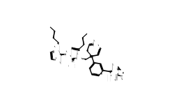 CCCCn1ccnc1-n1cc(CCC)n(CC2(c3cccc(-c4nnn[nH]4)c3)C=CN=CC2)c1=O